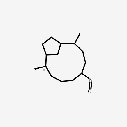 CC1CCC(N=O)CCC[C@@H](C)C2CCC1C2